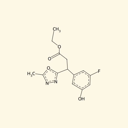 CCOC(=O)CC(c1cc(O)cc(F)c1)c1nnc(C)o1